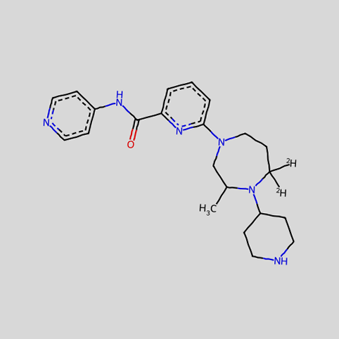 [2H]C1([2H])CCN(c2cccc(C(=O)Nc3ccncc3)n2)CC(C)N1C1CCNCC1